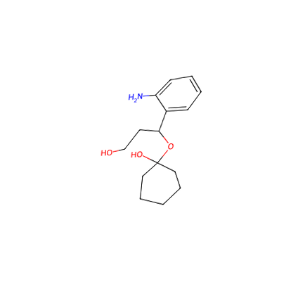 Nc1ccccc1C(CCO)OC1(O)CCCCC1